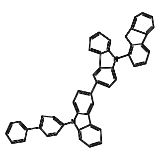 c1ccc(-c2ccc(-n3c4ccccc4c4cc(-c5ccc6c(c5)c5ccccc5n6-c5cccc6c5Cc5ccccc5-6)ccc43)cc2)cc1